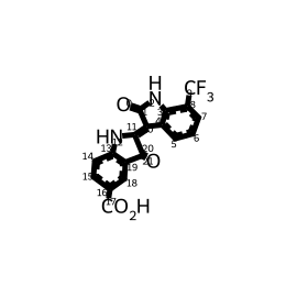 O=C1Nc2c(cccc2C(F)(F)F)/C1=C1/Nc2ccc(C(=O)O)cc2C1=O